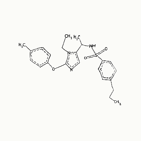 CCCc1ccc(S(=O)(=O)NC(C)c2cnc(Oc3ccc(C)cc3)n2CC)cc1